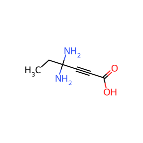 CCC(N)(N)C#CC(=O)O